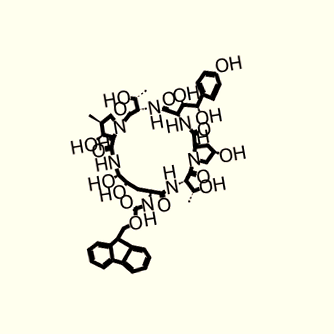 C[C@@H](O)[C@@H]1NC(=O)[C@H]([C@H](O)[C@@H](O)c2ccc(O)cc2)NC(=O)[C@@H]2C[C@@H](O)CN2C(=O)[C@H]([C@@H](C)O)NC(=O)[C@@H](NC(=O)OCC2c3ccccc3-c3ccccc32)C[C@@H](O)[C@@H](O)NC(=O)[C@@H]2[C@@H](O)[C@@H](C)CN2C1=O